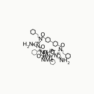 CN[C@@H](C)C(=O)N[C@H](C(=O)N1C[C@@H](N)C[C@H]1CN(CCc1ccccc1)C(=O)c1ccc(-c2ccc(C(=O)N(CCc3ccccc3)C[C@@H]3C[C@H](N)CN3C(=O)[C@@H](NC(=O)C(C)C)C3CCCCC3)cc2)cc1)C1CCCCC1